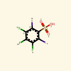 O=S(=O)(O)c1c(I)c(F)c(F)c(F)c1I